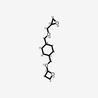 C1CC(OCC2CCC(COCC3CO3)CC2)O1